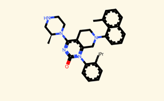 Cc1cccc2cccc(N3CCc4c(N5CCNC[C@@H]5C)nc(=O)n(-c5ccccc5C(C)C)c4C3)c12